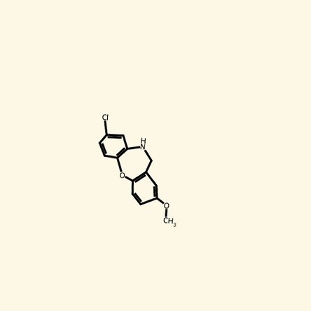 COc1ccc2c(c1)CNc1cc(Cl)ccc1O2